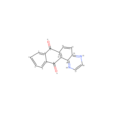 O=C1c2ccccc2C(=O)c2c1ccc1nccnc21